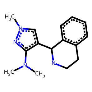 CN(C)c1nn(C)cc1C1[N]CCc2ccccc21